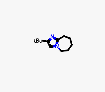 CC(C)(C)c1cn2c(n1)CCCCC2